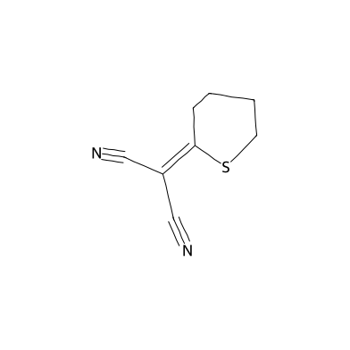 N#CC(C#N)=C1CCCCS1